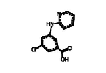 O=C(O)c1cc(Cl)cc(Nc2ccccn2)c1